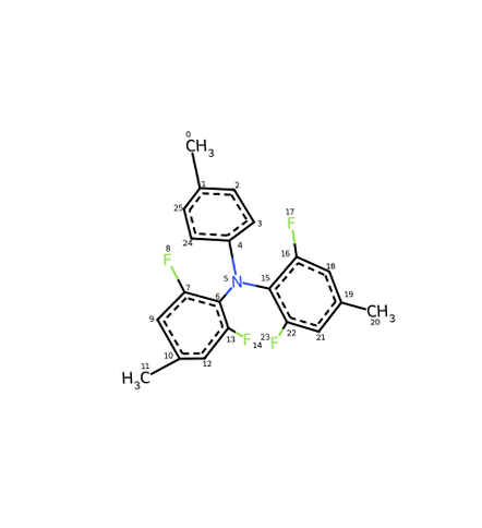 Cc1ccc(N(c2c(F)cc(C)cc2F)c2c(F)cc(C)cc2F)cc1